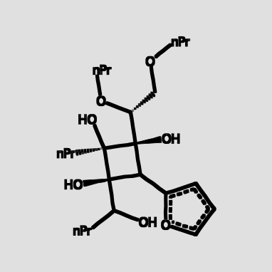 CCCOC[C@@H](OCCC)[C@]1(O)C(c2ccco2)[C@](O)(C(O)CCC)[C@]1(O)CCC